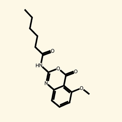 CCCCCC(=O)Nc1nc2cccc(OC)c2c(=O)o1